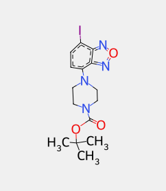 CC(C)(C)OC(=O)N1CCN(c2ccc(I)c3nonc23)CC1